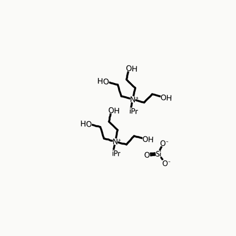 CC(C)[N+](CCO)(CCO)CCO.CC(C)[N+](CCO)(CCO)CCO.O=[Si]([O-])[O-]